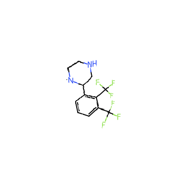 FC(F)(F)c1cccc(C2CNCC[N]2)c1C(F)(F)F